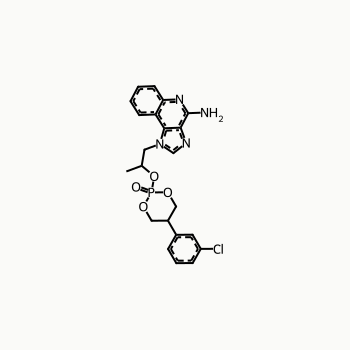 CC(Cn1cnc2c(N)nc3ccccc3c21)OP1(=O)OCC(c2cccc(Cl)c2)CO1